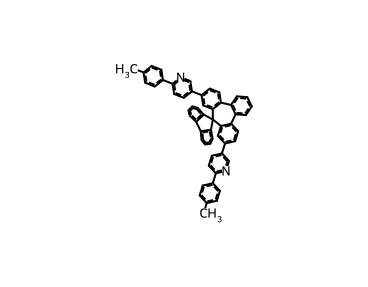 Cc1ccc(-c2ccc(-c3ccc4c(c3)C3(c5cc(-c6ccc(-c7ccc(C)cc7)nc6)ccc5-c5ccccc5-4)c4ccccc4-c4ccccc43)cn2)cc1